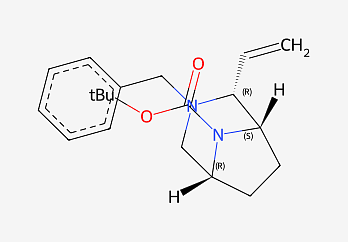 C=C[C@@H]1[C@@H]2CC[C@H](CN1Cc1ccccc1)N2C(=O)OC(C)(C)C